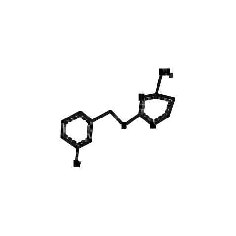 Nc1ccnc(SCc2cccc(Br)c2)n1